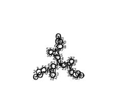 O=c1ccc2ccc(-n3c4ccccc4c4cc(N(c5ccc6c(c5)c5ccccc5n6-c5ccc6ccc(=O)oc6c5)c5ccc6c(c5)c5ccccc5n6-c5ccc6ccc(=O)oc6c5)ccc43)cc2o1